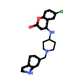 O=c1cc(NC2CCN(Cc3ccc4cc[nH]c4c3)CC2)c2cc(Cl)ccc2o1